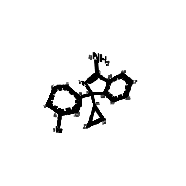 NC1=NC(c2cccc(Br)c2)(C2CC2)c2ccccc21